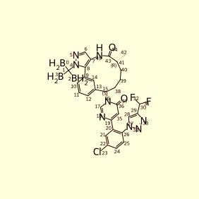 BC(B)(B)n1ncc2c1-c1cccc(c1)[C@@H](n1cnc(-c3cc(Cl)ccc3-n3cc(C(F)F)nn3)cc1=O)CCC[C@@H](C)C(=O)N2